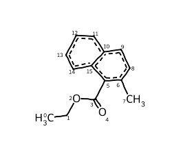 CCOC(=O)c1c(C)ccc2ccccc12